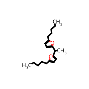 CCCCCc1ccc(C(C)c2ccc(CCCCC)o2)o1